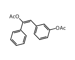 CC(=O)O/C(=C/c1cccc(OC(C)=O)c1)c1ccccc1